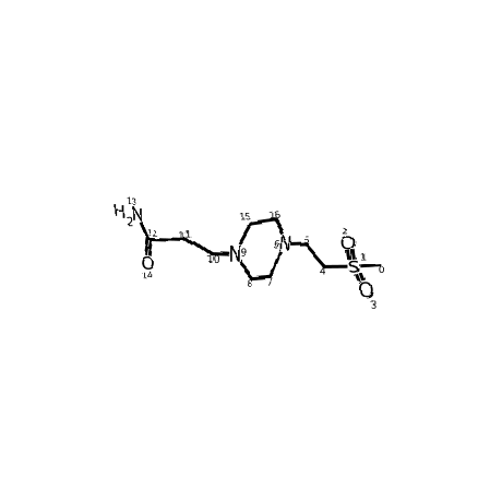 CS(=O)(=O)CCN1CCN(CCC(N)=O)CC1